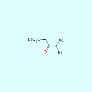 CCOC(=O)CC(=O)C(CC)C(C)=O